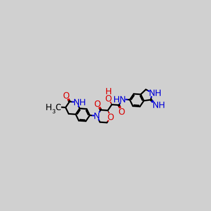 CC1Cc2ccc(N3CCO[C@H]([C@@H](O)C(=O)Nc4ccc5c(c4)CNC5=N)C3=O)cc2NC1=O